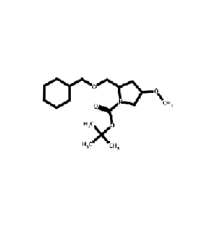 COC1CC(COCC2CCCCC2)N(C(=O)OC(C)(C)C)C1